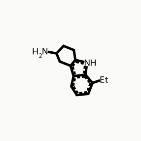 CCc1cccc2c3c([nH]c12)CCC(N)C3